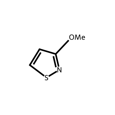 COc1ccsn1